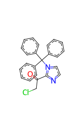 O=C(CCl)c1nccn1C(c1ccccc1)(c1ccccc1)c1ccccc1